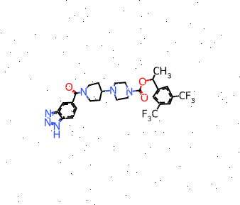 CC(OC(=O)N1CCN(C2CCN(C(=O)c3ccc4[nH]nnc4c3)CC2)CC1)c1cc(C(F)(F)F)cc(C(F)(F)F)c1